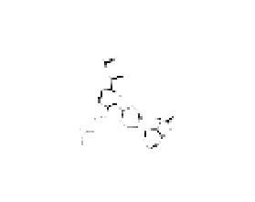 CC(C)NCCNc1ccc(C(=N)OC(=N)C(F)(F)F)nc1C1CCN(c2ncnc3c2C(C)(C)C(=O)N3)CC1